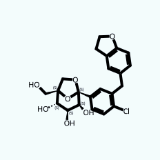 OC[C@@]12CO[C@@](c3ccc(Cl)c(Cc4ccc5c(c4)CCO5)c3)(O1)[C@@H](O)[C@@H](O)[C@@H]2O